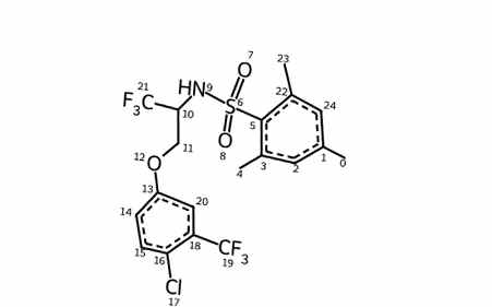 Cc1cc(C)c(S(=O)(=O)NC(COc2ccc(Cl)c(C(F)(F)F)c2)C(F)(F)F)c(C)c1